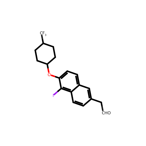 O=CCc1ccc2c(I)c(OC3CCC(C(F)(F)F)CC3)ccc2c1